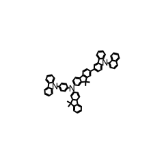 CC1(C)c2cc(-c3ccc4c(c3)c3ccccc3n4-c3cccc4ccccc34)ccc2-c2ccc(N(C3=CC4C(C=C3)c3ccccc3C4(C)C)c3ccc(-n4c5ccccc5c5ccccc54)cc3)cc21